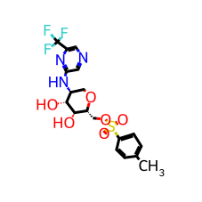 Cc1ccc(S(=O)(=O)OC[C@H]2OC[C@H](Nc3cncc(C(F)(F)F)n3)[C@@H](O)[C@H]2O)cc1